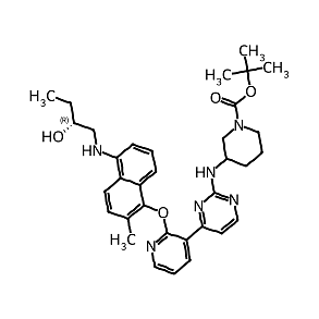 CC[C@@H](O)CNc1cccc2c(Oc3ncccc3-c3ccnc(NC4CCCN(C(=O)OC(C)(C)C)C4)n3)c(C)ccc12